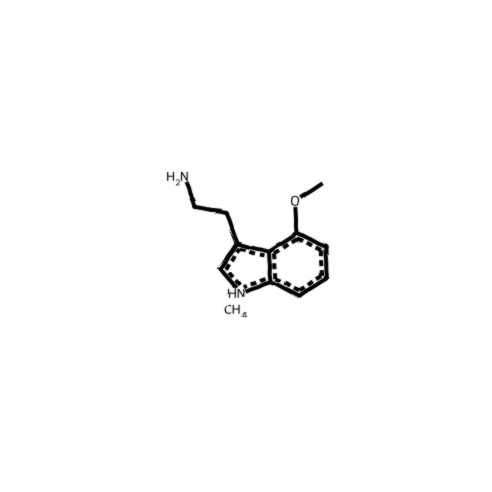 C.COc1cccc2[nH]cc(CCN)c12